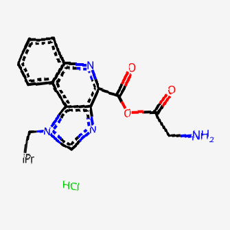 CC(C)Cn1cnc2c(C(=O)OC(=O)CN)nc3ccccc3c21.Cl